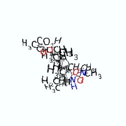 C=C(C)[C@@H]1CC[C@]2(NC(=O)C(=O)N(C)C)CC[C@]3(C)[C@H](CC[C@@H]4[C@@]5(C)CC[C@H](OC(=O)CC(C)(C)C(=O)O)C(C)(C)[C@@H]5CC[C@]43C)[C@@H]12